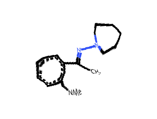 CNc1ccccc1/C(C)=N/N1CCCCC1